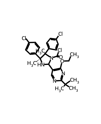 CCOc1nc(C(C)(C)C)ncc1C1N[C@@](C)(c2ccc(Cl)cc2)[C@@](C)(c2ccc(Cl)cc2)N1C(=O)Cl